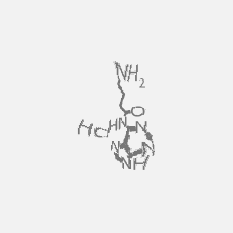 Cl.NCCCC(=O)Nc1ncnc2[nH]cnc12